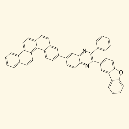 c1ccc(-c2nc3cc(-c4ccc5c(ccc6ccc7c8ccccc8ccc7c65)c4)ccc3nc2-c2ccc3oc4ccccc4c3c2)cc1